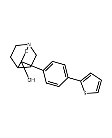 OC1(c2ccc(-c3cccs3)cc2)CN2CCC1CC2